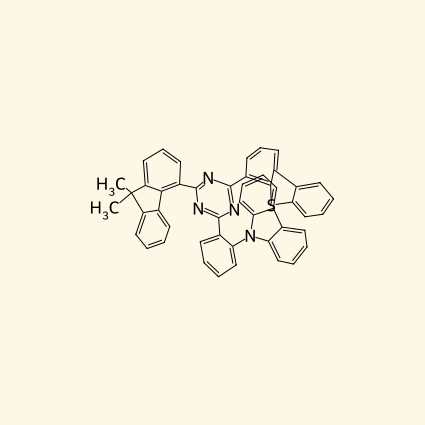 CC1(C)c2ccccc2-c2c(-c3nc(-c4ccccc4-n4c5ccccc5c5ccccc54)nc(-c4cccc5c4sc4ccccc45)n3)cccc21